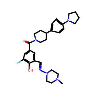 CN1CCN(N=Cc2cc(C(=O)N3CCC(c4ccc(N5CCCC5)cc4)CC3)cc(F)c2O)CC1